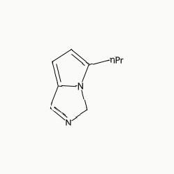 CCCc1ccc2n1CN=C2